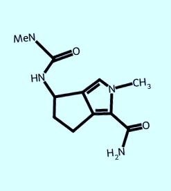 CNC(=O)NC1CCc2c1cn(C)c2C(N)=O